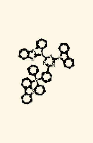 c1ccc([Si](c2ccccc2)(c2cccc(-c3nc(-n4c5ccccc5c5ccccc54)nc(-n4c5ccccc5n5c6ccccc6nc45)n3)c2)c2cccc3c2sc2ccccc23)cc1